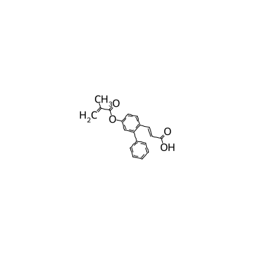 C=C(C)C(=O)Oc1ccc(C=CC(=O)O)c(-c2ccccc2)c1